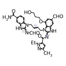 CCn1nc(C)cc1C(=O)/N=c1/[nH]c2cc(C=O)cc(OCCCO)c2n1C/C=C/Cn1/c(=N\C=O)[nH]c2cc(C(N)=O)ccc21